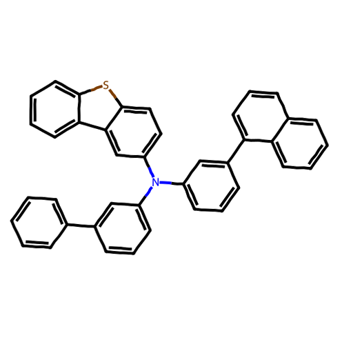 c1ccc(-c2cccc(N(c3cccc(-c4cccc5ccccc45)c3)c3ccc4sc5ccccc5c4c3)c2)cc1